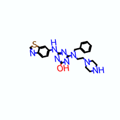 Oc1nc(Nc2ccc3ncsc3c2)nc(N(CCN2CCNCC2)Cc2ccccc2)n1